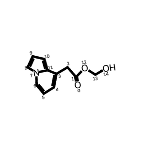 O=C(Cc1cccn2cccc12)OCO